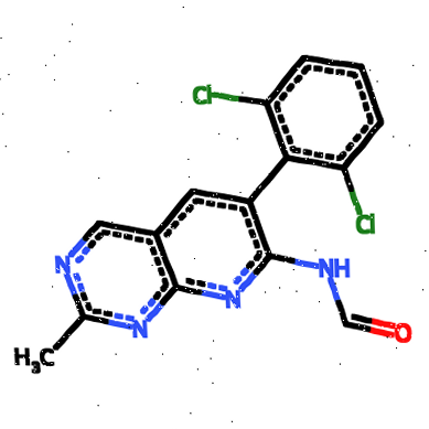 Cc1ncc2cc(-c3c(Cl)cccc3Cl)c(NC=O)nc2n1